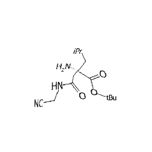 CC(C)C[C@](N)(C(=O)NCC#N)C(=O)OC(C)(C)C